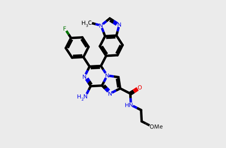 COCCNC(=O)c1cn2c(-c3ccc4ncn(C)c4c3)c(-c3ccc(F)cc3)nc(N)c2n1